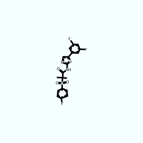 CC(C)(C(=O)Nc1ncc(-c2cc(F)cc(F)c2)s1)S(=O)(=O)c1ccc(F)cc1